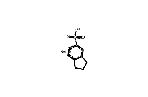 O=S(=O)(O)c1ccc2c(c1)CCC2.[NaH]